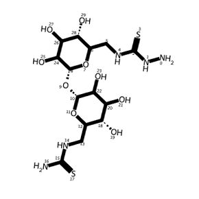 NNC(=S)NCC1O[C@H](O[C@H]2OC(CNC(N)=S)[C@@H](O)C(O)C2O)C(O)C(O)[C@@H]1O